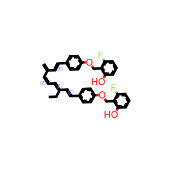 C=C(\C=C/C=C(/C=C/c1ccc(OCc2c(O)cccc2F)cc1)CC)/C=C/c1ccc(OCc2c(O)cccc2F)cc1